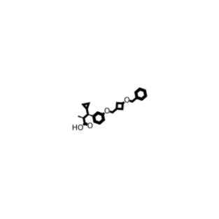 C[C@H](C(=O)O)[C@H](c1cccc(OCC2CC(OCc3ccccc3)C2)c1)C1CC1